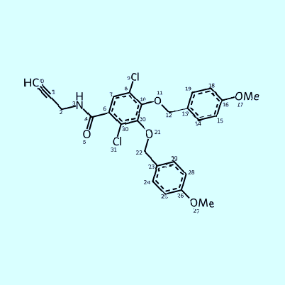 C#CCNC(=O)c1cc(Cl)c(OCc2ccc(OC)cc2)c(OCc2ccc(OC)cc2)c1Cl